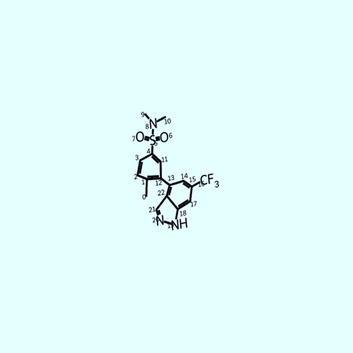 Cc1ccc(S(=O)(=O)N(C)C)cc1-c1cc(C(F)(F)F)cc2[nH]ncc12